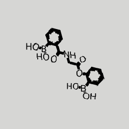 O=C(CNC(=O)c1ccccc1B(O)O)Oc1ccccc1B(O)O